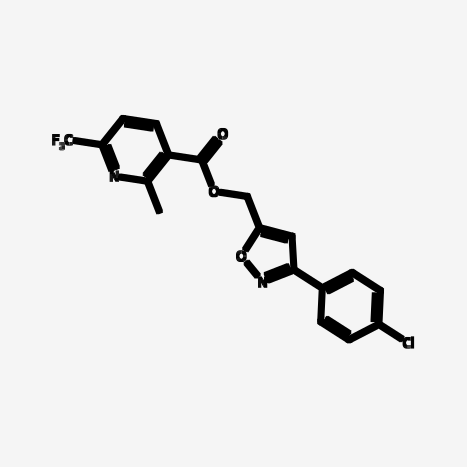 Cc1nc(C(F)(F)F)ccc1C(=O)OCc1cc(-c2ccc(Cl)cc2)no1